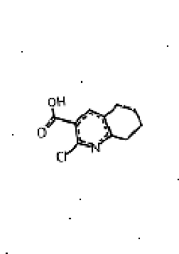 O=C(O)c1cc2c(nc1Cl)CCCC2